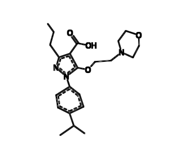 CCCc1nn(-c2ccc(C(C)C)cc2)c(OCCN2CCOCC2)c1C(=O)O